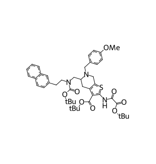 COc1ccc(CN2Cc3sc(NC(=O)C(=O)OC(C)(C)C)c(C(=O)OC(C)(C)C)c3CC2CN(CCc2ccc3ccccc3c2)C(=O)OC(C)(C)C)cc1